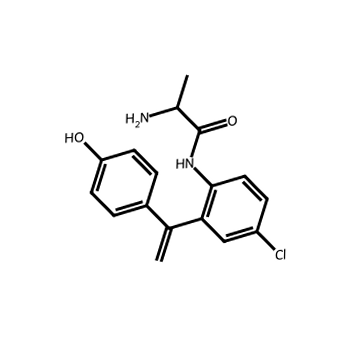 C=C(c1ccc(O)cc1)c1cc(Cl)ccc1NC(=O)C(C)N